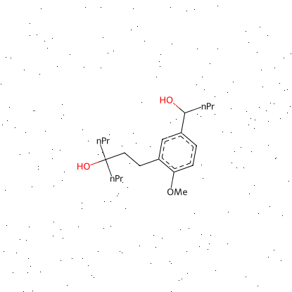 CCCC(O)c1ccc(OC)c(CCC(O)(CCC)CCC)c1